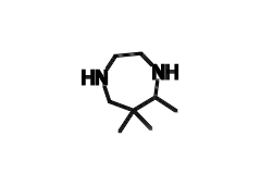 CC1NCCNCC1(C)C